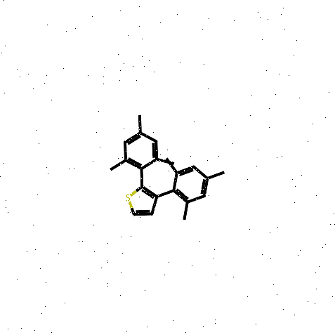 Cc1cc(C)c(-c2ccsc2-c2c(C)cc(C)cc2C)c(C)c1